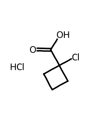 Cl.O=C(O)C1(Cl)CCC1